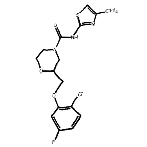 Cc1csc(NC(=O)N2CCOC(COc3cc(F)ccc3Cl)C2)n1